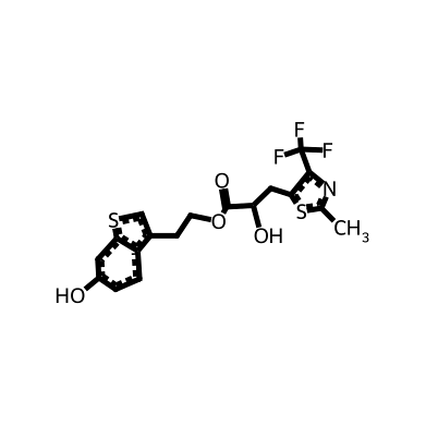 Cc1nc(C(F)(F)F)c(CC(O)C(=O)OCCc2csc3cc(O)ccc23)s1